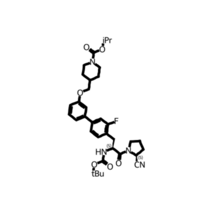 CC(C)OC(=O)N1CCC(COc2cccc(-c3ccc(C[C@H](NC(=O)OC(C)(C)C)C(=O)N4CCC[C@H]4C#N)c(F)c3)c2)CC1